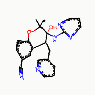 CC1(C)Oc2ccc(C#N)cc2[C@H](Cc2cccnc2)[C@]1(O)Nc1ncccn1